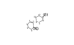 CC[C@H]1CC[C@H](C2=CCCCC2=O)CC1